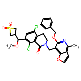 COC(c1cc(Cl)c2c(c1Cl)C(=O)N(Cc1c(OCc3ccccc3)nc(C)c3ccoc13)CC2)C1CS(=O)(=O)C1